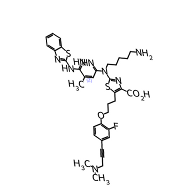 C/C(=C/C(=N)N(CCCCCN)c1nc(C(=O)O)c(CCCOc2ccc(C#CCN(C)C)cc2F)s1)C(=N)Nc1nc2ccccc2s1